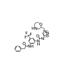 O=C(Cc1ccccc1)Nc1cc(NC(=O)[N-]c2c[n+](CC3CNCCCO3)no2)cc(C(F)(F)F)c1